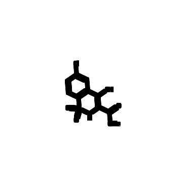 COC(=O)C1=C(O)c2cc(Cl)ccc2S(=O)(=O)N1